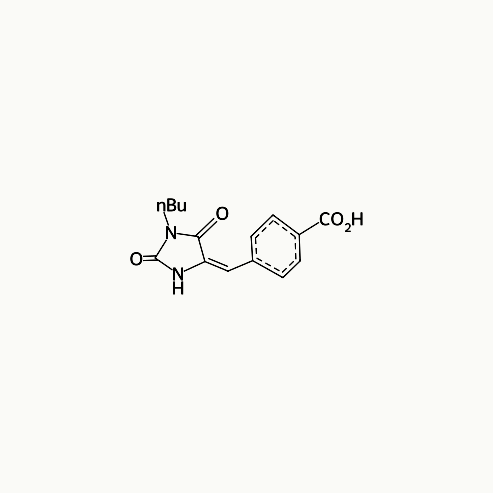 CCCCN1C(=O)NC(=Cc2ccc(C(=O)O)cc2)C1=O